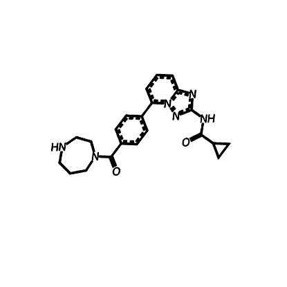 O=C(Nc1nc2cccc(-c3ccc(C(=O)N4CCCNCC4)cc3)n2n1)C1CC1